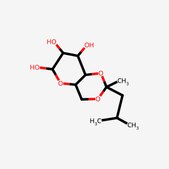 CC(C)CC1(C)OCC2OC(O)C(O)C(O)C2O1